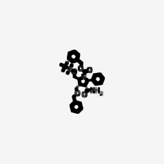 CC(C)(C)[Si](C)(C)OC[C@@H]1[C@@H](COCc2ccccc2)[C@@H](C(N)=O)[C@H](c2ccccc2)N1C(=O)OCc1ccccc1